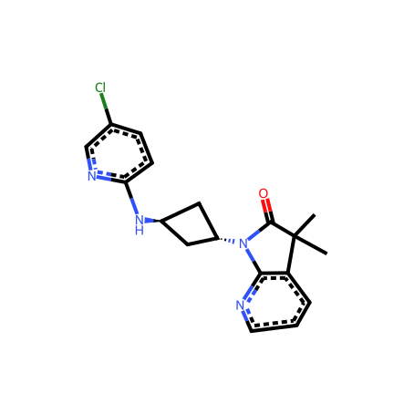 CC1(C)C(=O)N([C@H]2C[C@H](Nc3ccc(Cl)cn3)C2)c2ncccc21